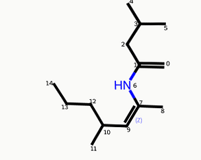 C=C(CC(C)C)N/C(C)=C\C(C)CCC